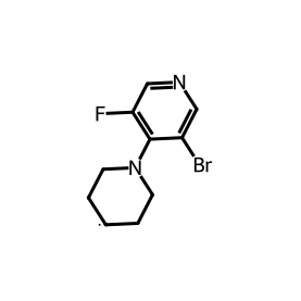 Fc1cncc(Br)c1N1CC[CH]CC1